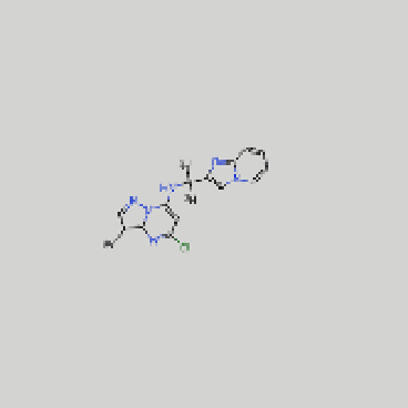 [2H]C([2H])(Nc1cc(Cl)nc2c(C(C)C)cnn12)c1cn2ccccc2n1